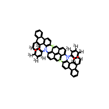 [2H]c1c([2H])c([2H])c(N(c2c(F)ccc(-c3ccccc3C)c2-c2ccccc2C)c2ccc3ccc4c(N(c5c([2H])c([2H])c([2H])c([2H])c5[2H])c5c(F)ccc(-c6ccccc6C)c5-c5ccccc5C)ccc5ccc2c3c54)c([2H])c1[2H]